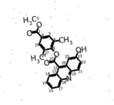 COC(=O)c1cc(C)c(OC(=O)c2c3ccccc3nc3ccc(O)cc23)c(C)c1